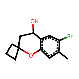 Cc1cc2c(cc1Br)C(O)CC1(CCC1)O2